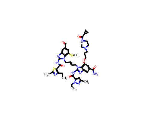 CCc1nc(C)sc1C(=O)Nc1nc2cc(C=O)cc(SC)c2n1C/C=C/Cn1c(NC(=O)c2cc(C)nn2CC)nc2cc(C(N)=O)cc(OCCCN3CCN(C(=O)C4CC4)CC3)c21